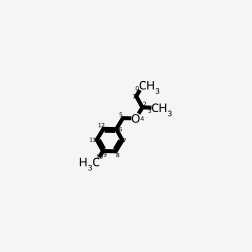 CCC(C)OCc1ccc(C)cc1